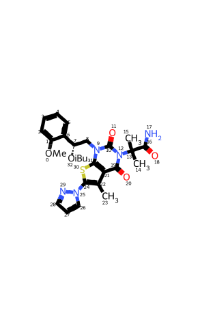 COc1ccccc1[C@H](Cn1c(=O)n(C(C)(C)C(N)=O)c(=O)c2c(C)c(-n3cccn3)sc21)OCC(C)C